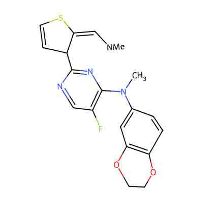 CN/C=C1/SC=CC1c1ncc(F)c(N(C)c2ccc3c(c2)OCCO3)n1